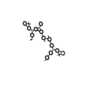 C=Cc1ccc(N(c2ccc3c(c2)C(C)(C)c2ccccc2-3)c2ccc3c(c2)c2cc(-c4ccc(C)c(-c5cc(-c6ccc(N(c7ccc(-c8ccc(C)cc8)cc7)c7ccc8c(c7)C(C)(C)C7C=CC=CC87)cc6)ccc5C)c4)ccc2n3-c2ccccc2)cc1